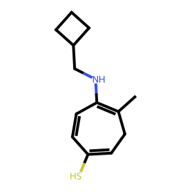 CC1=C(NCC2CCC2)C=CC(S)=CC1